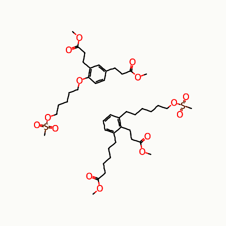 COC(=O)CCCCCc1cccc(CCCCCCOS(C)(=O)=O)c1CCC(=O)OC.COC(=O)CCc1ccc(OCCCCCOS(C)(=O)=O)c(CCC(=O)OC)c1